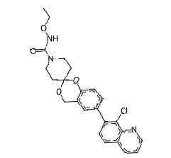 CCONC(=O)N1CCC2(CC1)OCc1cc(-c3ccc4cccnc4c3Cl)ccc1O2